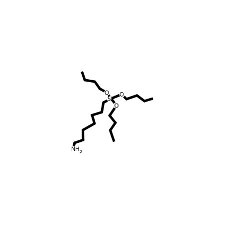 CCCCO[Si](CCCCCCCN)(OCCCC)OCCCC